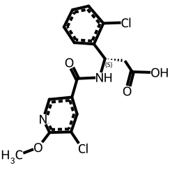 COc1ncc(C(=O)N[C@@H](CC(=O)O)c2ccccc2Cl)cc1Cl